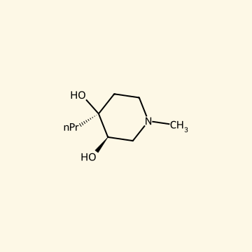 CCC[C@]1(O)CCN(C)C[C@H]1O